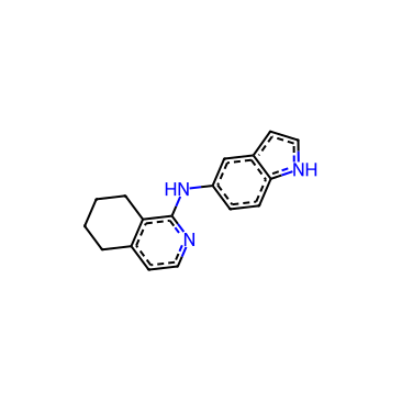 c1cc2c(c(Nc3ccc4[nH]ccc4c3)n1)CCCC2